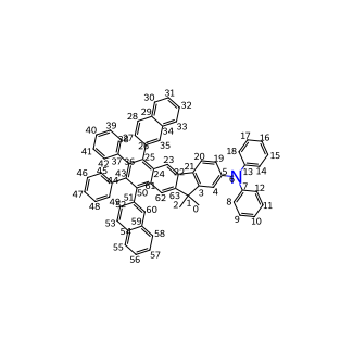 CC1(C)c2cc(N(c3ccccc3)c3ccccc3)ccc2-c2cc3c(-c4ccc5ccccc5c4)c(-c4ccccc4)c(-c4ccccc4)c(-c4ccc5ccccc5c4)c3cc21